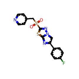 O=S(=O)(Cc1ccncc1)c1nn2cc(-c3ccc(F)cc3)nc2s1